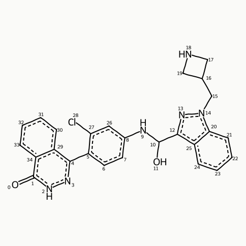 O=c1[nH]nc(-c2ccc(NC(O)c3nn(CC4CNC4)c4ccccc34)cc2Cl)c2ccccc12